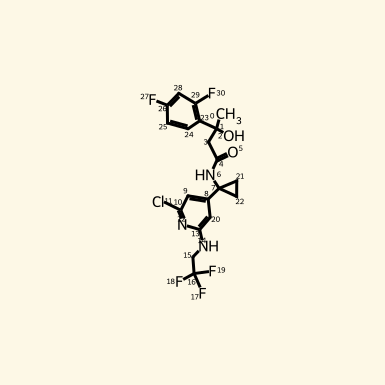 CC(O)(CC(=O)NC1(c2cc(Cl)nc(NCC(F)(F)F)c2)CC1)c1ccc(F)cc1F